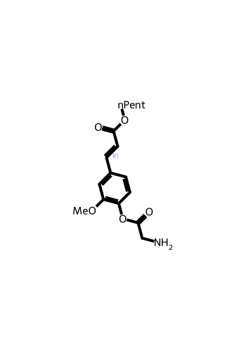 CCCCCOC(=O)/C=C/c1ccc(OC(=O)CN)c(OC)c1